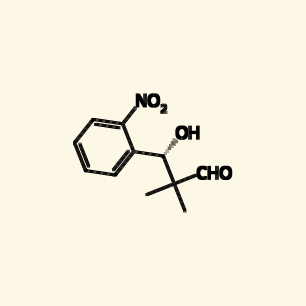 CC(C)(C=O)[C@@H](O)c1ccccc1[N+](=O)[O-]